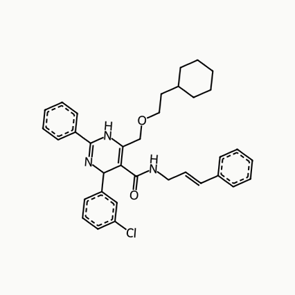 O=C(NC/C=C/c1ccccc1)C1=C(COCCC2CCCCC2)NC(c2ccccc2)=NC1c1cccc(Cl)c1